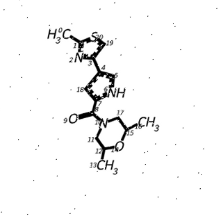 Cc1nc(-c2c[nH]c(C(=O)N3CC(C)OC(C)C3)c2)cs1